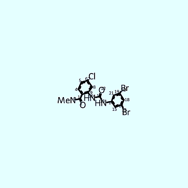 CNC(=O)c1ccc(Cl)cc1NC(=O)Nc1cc(Br)cc(Br)c1